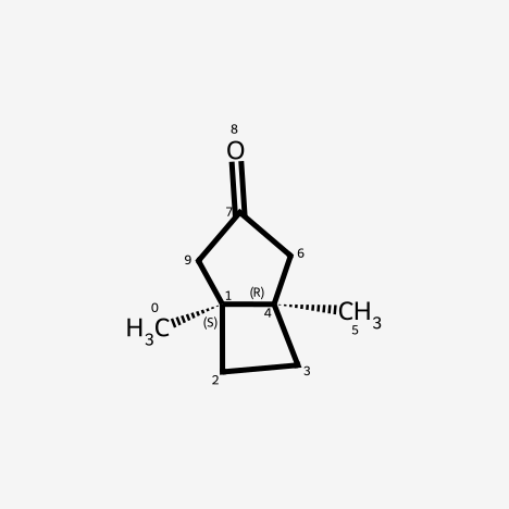 C[C@@]12CC[C@]1(C)CC(=O)C2